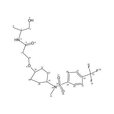 CC(CO)NC(=O)CCOC1CCC(N(C)S(=O)(=O)c2ccc(C(F)(F)F)cc2)CC1